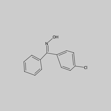 ON=C(c1ccccc1)c1ccc(Cl)cc1